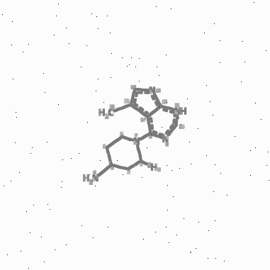 [2H]C1CC(N)CCN1c1nc[nH]c2ncc(C)c1-2